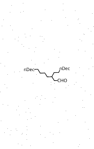 CCCCCCCCCCCCCCC(CC=O)CCCCCCCCCCCC